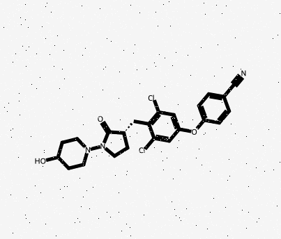 N#Cc1ccc(Oc2cc(Cl)c(C[C@@H]3CCN(N4CCC(O)CC4)C3=O)c(Cl)c2)cc1